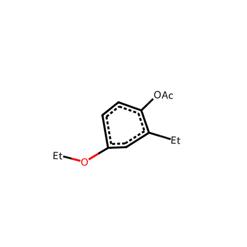 CCOc1ccc(OC(C)=O)c(CC)c1